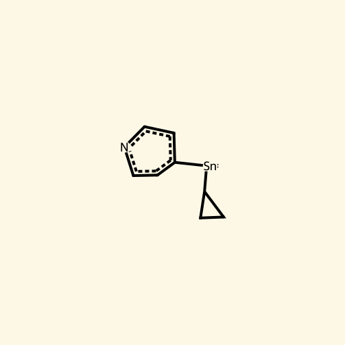 c1c[c]([Sn][CH]2CC2)ccn1